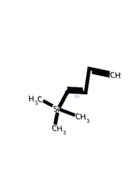 [CH]=C/C=[C]/[Si](C)(C)C